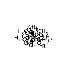 Cc1cc(C(C)(C)C)ccc1N1c2cc3c(cc2B2c4oc5cc6c(cc5c4N(c4ccc5c(c4)C(C)(C)CCC5(C)C)c4cc(C5CCCCC5)cc1c42)C(C)(C)CCC6(C)C)C(C)(C)CCC3(C)C